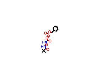 CC(C)(C)C(=O)NONC(=O)OOC(=O)OCc1ccccc1